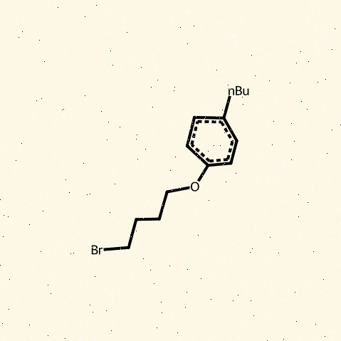 CCCCc1ccc(OCCCCBr)cc1